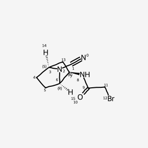 N#CN1[C@H]2CC[C@@H]1[C@H](NC(=O)CBr)C2